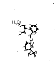 COC=C([C]=O)c1ccccc1COc1cccc(C(F)(F)F)n1